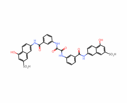 O=C(Nc1cccc(C(=O)Nc2ccc3c(O)cc(S(=O)(=O)O)cc3c2)c1)C(=O)Nc1cccc(C(=O)Nc2ccc3c(O)cc(S(=O)(=O)O)cc3c2)c1